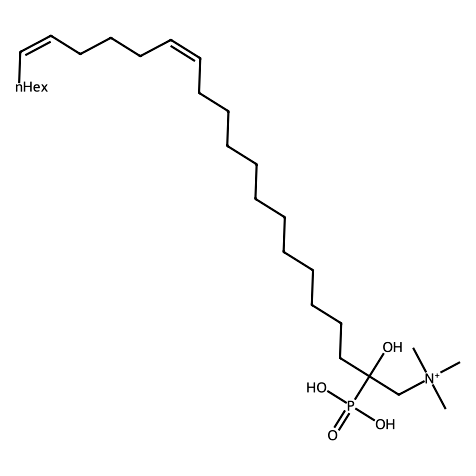 CCCCCC/C=C\CCC/C=C\CCCCCCCCCCCC(O)(C[N+](C)(C)C)P(=O)(O)O